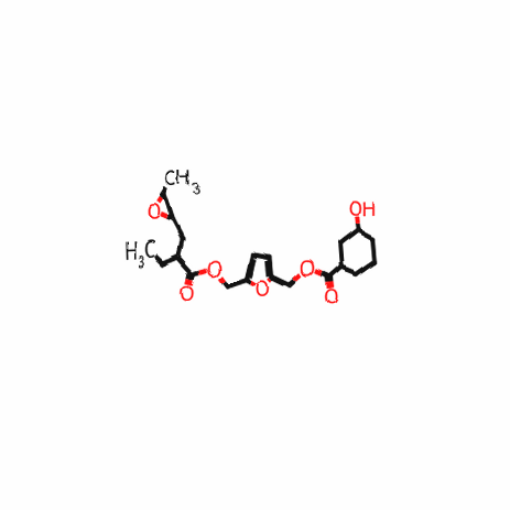 CCC(CC1OC1C)C(=O)OCc1ccc(COC(=O)C2CCCC(O)C2)o1